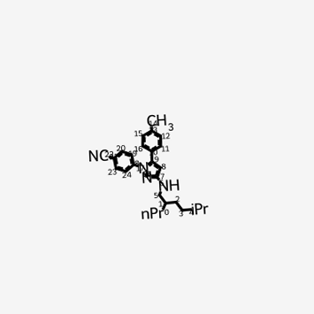 CCCC(CCC(C)C)CNc1cc(-c2ccc(C)cc2)n(-c2ccc(C#N)cc2)n1